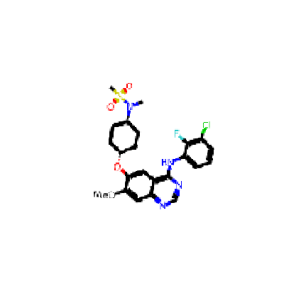 COc1cc2ncnc(Nc3cccc(Cl)c3F)c2cc1O[C@H]1CC[C@H](N(C)S(C)(=O)=O)CC1